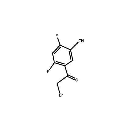 N#Cc1cc(C(=O)CBr)c(F)cc1F